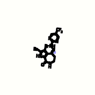 O=C1NCC/C(=N/Nc2ncc(C(F)(F)F)cn2)c2c1[nH]c(Br)c2Br